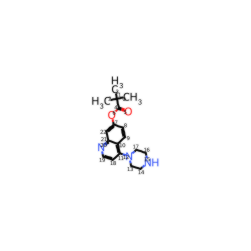 CC(C)(C)C(=O)Oc1ccc2c(N3CCNCC3)ccnc2c1